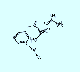 C=C(C)C(=O)O.C=O.NC(N)=O.Oc1ccccc1